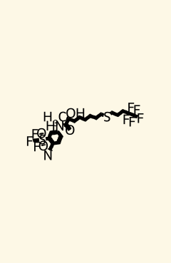 CC(O)(CCCCCCSCCCC(F)(F)C(F)(F)F)C(=O)Nc1ccc(C#N)c(S(=O)(=O)C(F)(F)F)c1